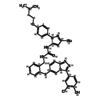 CN(C)CCOc1ccc(-n2nc(C(C)(C)C)cc2NC(=O)NCc2ccccc2Sc2ccc3nnc(-c4ccc(O)c(Cl)c4)n3c2)cc1